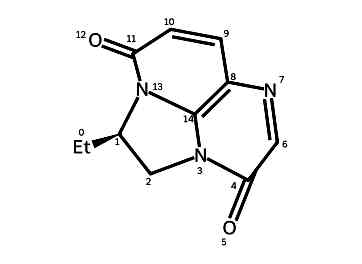 CC[C@@H]1Cn2c(=O)cnc3ccc(=O)n1c32